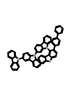 c1ccc(-c2ccc(-c3ccc4sc5ccccc5c4c3-n3c4ccccc4c4ccc(-n5c6ccccc6c6cc(-n7c8ccccc8c8ccccc87)ccc65)cc43)cc2)cc1